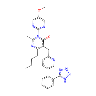 CCCCc1nc(C)n(-c2ncc(OC)cn2)c(=O)c1Cc1ccc(-c2ccccc2-c2nnn[nH]2)cn1